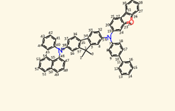 CC1(C)c2cc(N(c3ccc(-c4ccccc4)cc3)c3ccc4c(c3)oc3ccccc34)ccc2-c2ccc(N(c3ccccc3)c3cccc4ccccc34)cc21